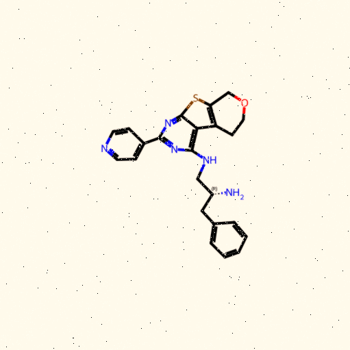 N[C@@H](CNc1nc(-c2ccncc2)nc2sc3c(c12)CCOC3)Cc1ccccc1